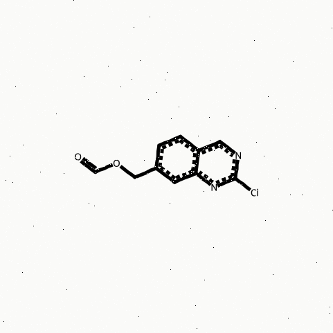 O=COCc1ccc2cnc(Cl)nc2c1